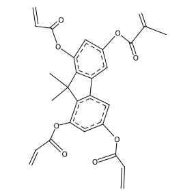 C=CC(=O)Oc1cc(OC(=O)C=C)c2c(c1)-c1cc(OC(=O)C(=C)C)cc(OC(=O)C=C)c1C2(C)C